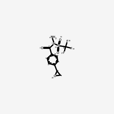 NN(C(=O)c1ccc(C2CO2)cc1)S(=O)(=O)C(F)(F)F